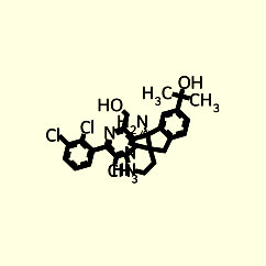 Cc1nc([C@@]2(N)c3cc(C(C)(C)O)ccc3CC23CCNCC3)c(CO)nc1-c1cccc(Cl)c1Cl